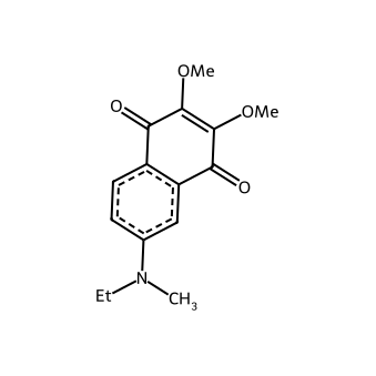 CCN(C)c1ccc2c(c1)C(=O)C(OC)=C(OC)C2=O